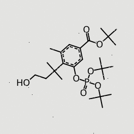 Cc1cc(C(=O)OC(C)(C)C)cc(OP(=O)(OC(C)(C)C)OC(C)(C)C)c1C(C)(C)CCO